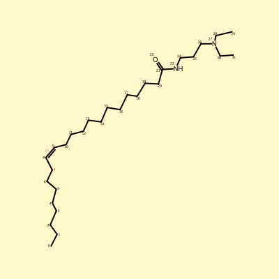 CCCCCCCC/C=C\CCCCCCCCCCCC(=O)NCCCN(CC)CC